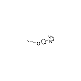 CCCCCOc1ccc(-c2ncccn2)cc1